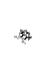 CC=C(N(C(N)=S)C(=CC)C(F)(F)F)C(F)(F)F